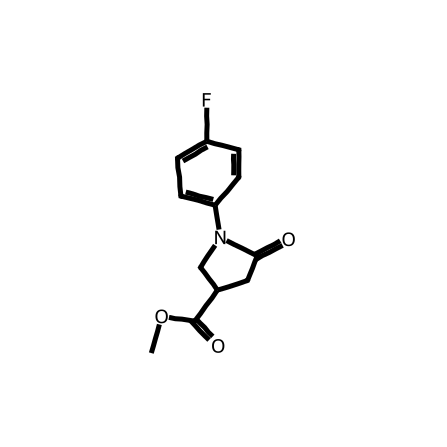 COC(=O)C1CC(=O)N(c2ccc(F)cc2)C1